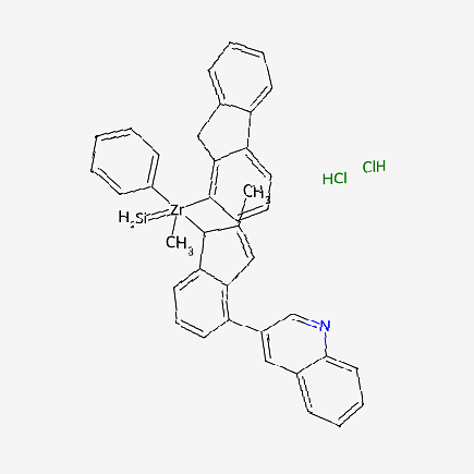 CC1=Cc2c(-c3cnc4ccccc4c3)cccc2[CH]1[Zr]([CH3])(=[SiH2])([c]1ccccc1)[c]1cccc2c1Cc1ccccc1-2.Cl.Cl